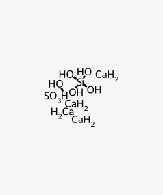 O=S(=O)(O)O.O[Si](O)(O)O.[CaH2].[CaH2].[CaH2].[CaH2]